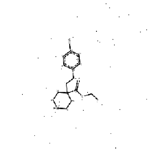 CCOC(=O)C1(CCc2ccc(Cl)cc2)CCNCC1